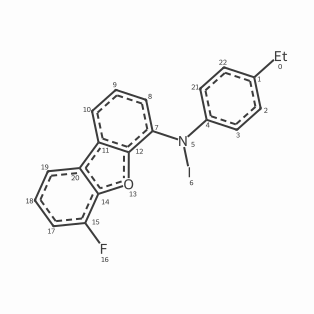 CCc1ccc(N(I)c2cccc3c2oc2c(F)cccc23)cc1